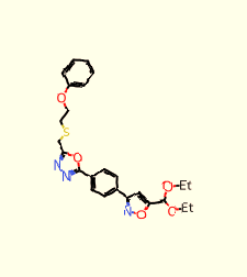 CCOC(OCC)c1cc(-c2ccc(-c3nnc(CSCCOc4ccccc4)o3)cc2)no1